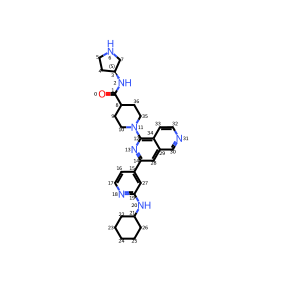 O=C(N[C@H]1CCNC1)C1CCN(c2nc(-c3ccnc(NC4CCCCC4)c3)cc3cnccc23)CC1